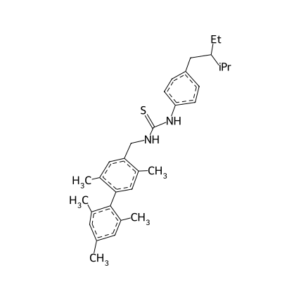 CCC(Cc1ccc(NC(=S)NCc2cc(C)c(-c3c(C)cc(C)cc3C)cc2C)cc1)C(C)C